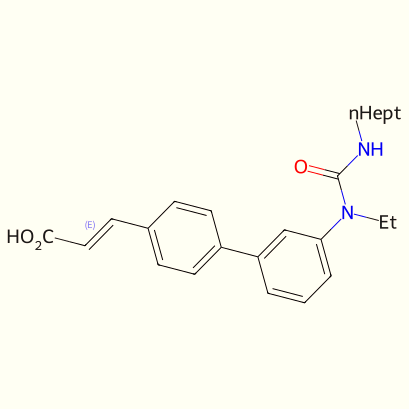 CCCCCCCNC(=O)N(CC)c1cccc(-c2ccc(/C=C/C(=O)O)cc2)c1